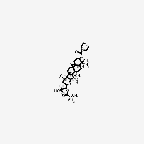 C[C@@H]1CC(C(OC(=O)N(C)C)C(C)(C)O)OC2[C@H]1C1(C)CCC34CC35CCC(OC(=O)N3CCOCC3)C(C)(C)[C@@H]5CCC4[C@]1(C)[C@H]2O